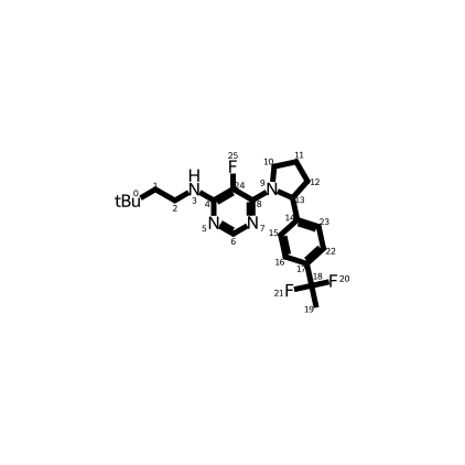 CC(C)(C)CCNc1ncnc(N2CCCC2c2ccc(C(C)(F)F)cc2)c1F